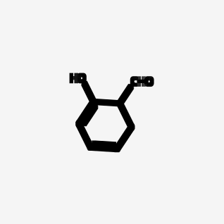 O=CC1CC=CC=C1O